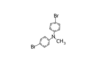 CN(c1ccc(Br)cc1)c1ccc(Br)cc1